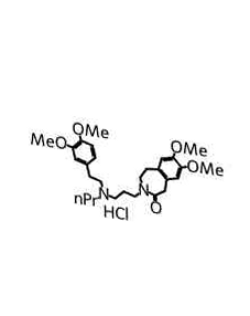 CCCN(CCCN1CCc2cc(OC)c(OC)cc2CC1=O)CCc1ccc(OC)c(OC)c1.Cl